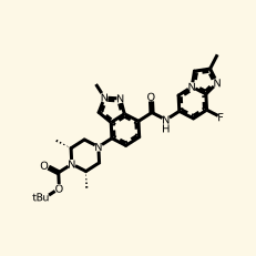 Cc1cn2cc(NC(=O)c3ccc(N4C[C@@H](C)N(C(=O)OC(C)(C)C)[C@@H](C)C4)c4cn(C)nc34)cc(F)c2n1